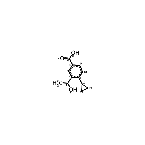 CC(O)c1cc(C(=O)O)ccc1C1CC1